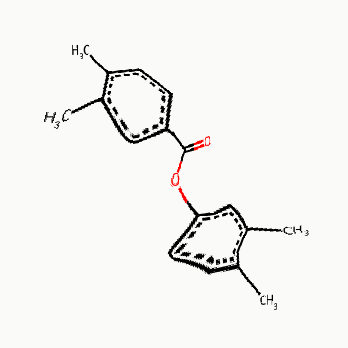 Cc1ccc(OC(=O)c2ccc(C)c(C)c2)cc1C